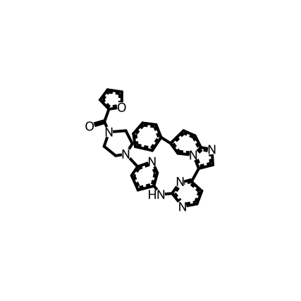 O=C(c1ccco1)N1CCN(c2ccc(Nc3nccc(-c4cnc5ccc(-c6ccccc6)cn45)n3)cn2)CC1